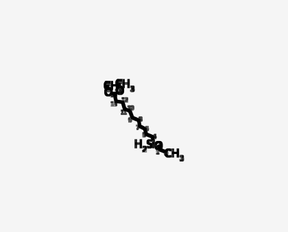 CCO[SiH2]CCCCCCCCCCC(OC)OC